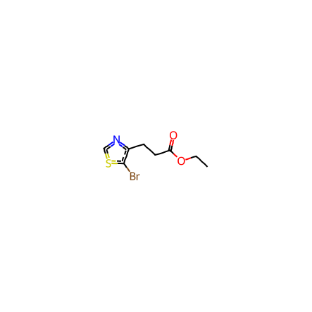 CCOC(=O)CCc1ncsc1Br